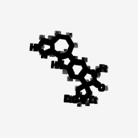 CCOC(=O)CC1(CC(=O)OCC)C(=O)N(CC)c2cc3c4c([nH]c3cc21)-c1n[nH]cc1CCC4